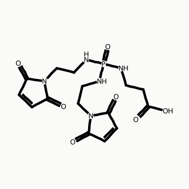 O=C(O)CCNP(=O)(NCCN1C(=O)C=CC1=O)NCCN1C(=O)C=CC1=O